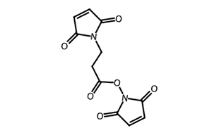 O=C(CCN1C(=O)C=CC1=O)ON1C(=O)C=CC1=O